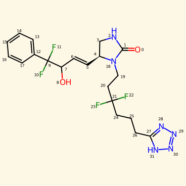 O=C1NC[C@H](C=CC(O)C(F)(F)c2ccccc2)N1CCC(F)(F)CCCc1nnn[nH]1